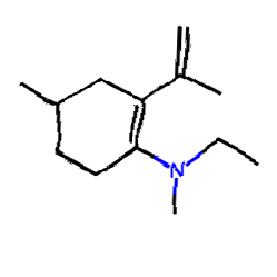 C=C(C)C1=C(N(C)CC)CCC(C)C1